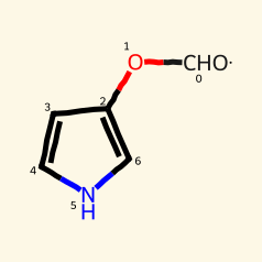 O=[C]Oc1cc[nH]c1